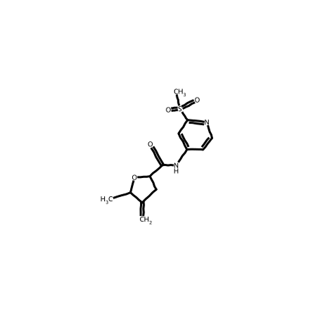 C=C1CC(C(=O)Nc2ccnc(S(C)(=O)=O)c2)OC1C